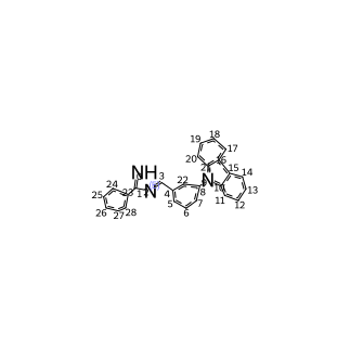 N=C(/N=C/c1cccc(-n2c3ccccc3c3ccccc32)c1)c1ccccc1